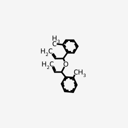 C=CC(OC(C=C)c1ccccc1C)c1ccccc1C